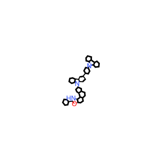 C1=CC2C(C=C1c1ccc(-n3c4ccccc4c4ccccc43)cc1)c1ccccc1N2c1ccc2c(ccc3ccc4c(c32)NC(c2ccccc2)O4)c1